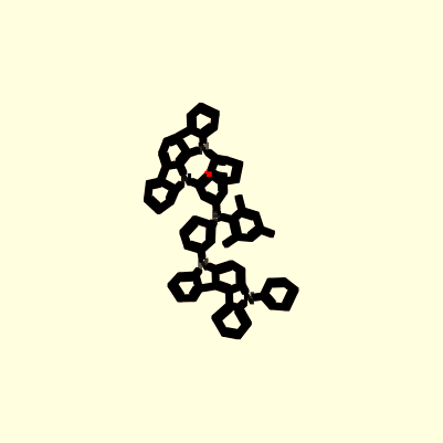 Cc1cc(C)c(B(c2cccc(-n3c4ccccc4c4c5c6ccccc6n(-c6ccccc6)c5ccc43)c2)c2cccc(-n3c4ccccc4c4ccc5c6ccccc6n(-c6ccccc6)c5c43)c2)c(C)c1